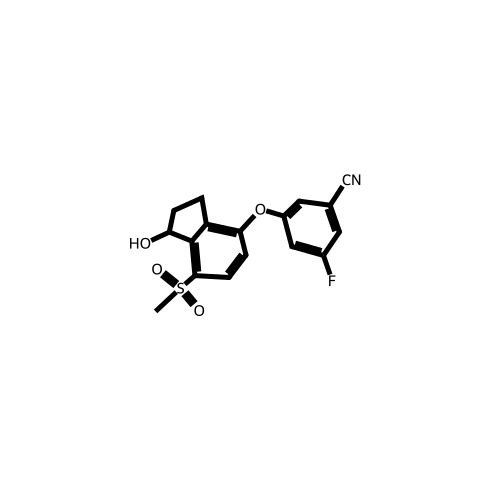 CS(=O)(=O)c1ccc(Oc2cc(F)cc(C#N)c2)c2c1C(O)CC2